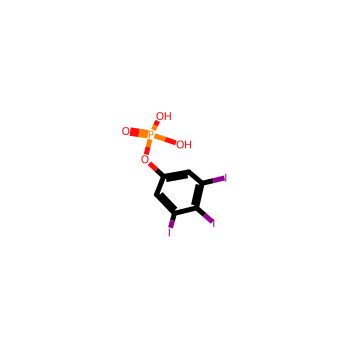 O=P(O)(O)Oc1cc(I)c(I)c(I)c1